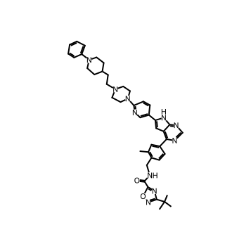 Cc1cc(-c2ncnc3[nH]c(-c4ccc(N5CCN(CCC6CCN(c7ccccc7)CC6)CC5)nc4)cc23)ccc1CNC(=O)c1nc(C(C)(C)C)no1